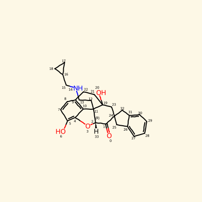 O=C1[C@@H]2Oc3c(O)ccc4c3C2(CCNCC2CC2)C(O)(CC4)CC12Cc1ccccc1C2